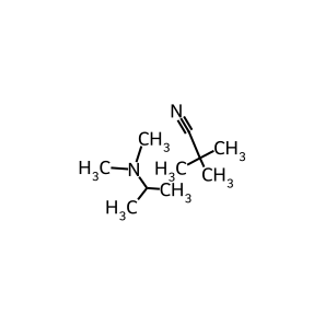 CC(C)(C)C#N.CC(C)N(C)C